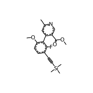 COC(=O)c1cnc(C)cc1-c1c(OC)ccc(C#C[Si](C)(C)C)c1F